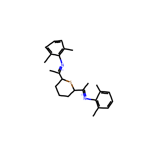 C/C(=N\c1c(C)cccc1C)C1CCCC(/C(C)=N/c2c(C)cccc2C)S1